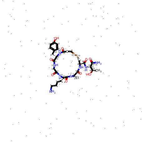 CC[C@@H]1NC(=O)[C@H](CCCCN)NC(=O)CNC(=O)[C@H](Cc2ccc(O)cc2)NC(=O)CCSSC[C@@H](C(=O)N[C@H](C(N)=O)[C@@H](C)O)NC1=O